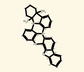 CC12CCCCC1(C)N1c3cccc4c3B(c3cccc2c31)c1ccc2c(oc3ccccc32)c1S4